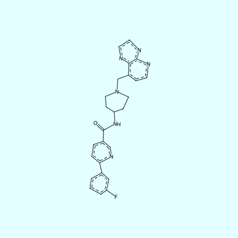 O=C(NC1CCN(Cc2ccnc3nccnc23)CC1)c1ccc(-c2cccc(F)c2)nc1